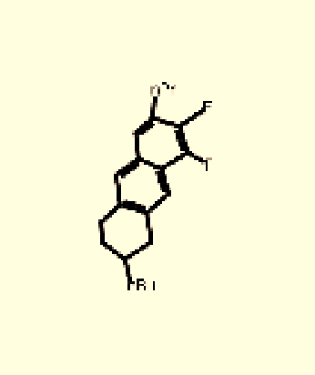 CCCCC1CCc2cc3cc(CCC)c(F)c(F)c3cc2C1